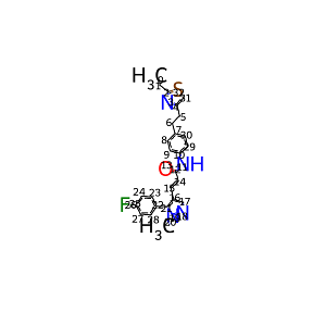 CCc1nc(CCc2ccc(NC(=O)C=Cc3cnn(C)c3-c3ccc(F)cc3)cc2)cs1